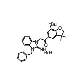 Br.CC(C)(C)c1cc(C(=O)Cn2c(=N)n(Cc3ccccc3)c3ccccc32)cc2c1OCC2(C)C